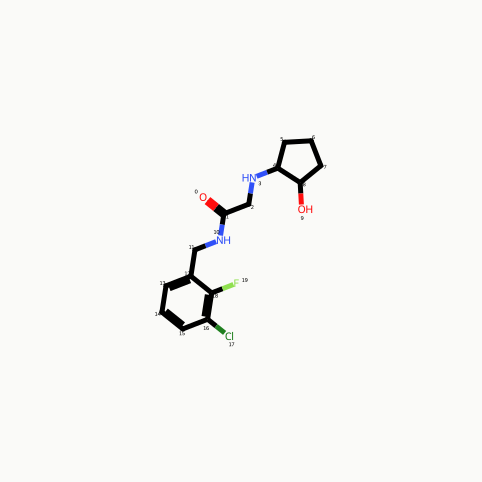 O=C(CNC1CCCC1O)NCc1cccc(Cl)c1F